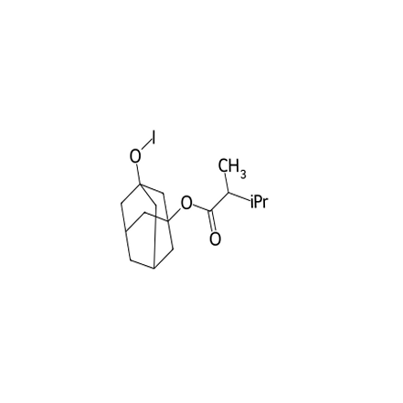 CC(C)C(C)C(=O)OC12CC3CC(CC(OI)(C3)C1)C2